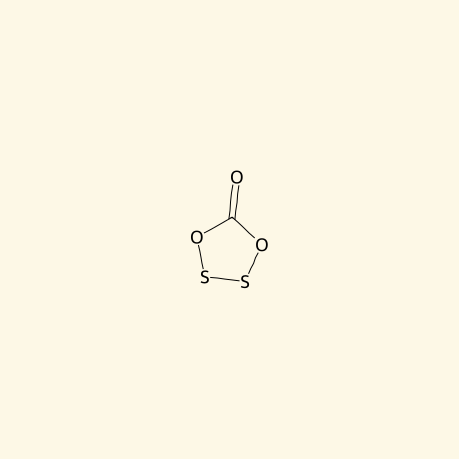 O=C1OSSO1